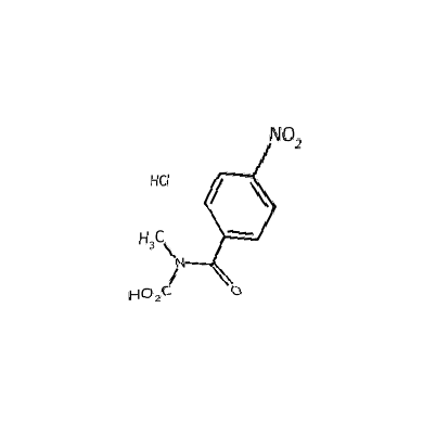 CN(C(=O)O)C(=O)c1ccc([N+](=O)[O-])cc1.Cl